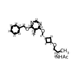 CC(=O)N[C@@H](C)CO[C@H]1C[C@H](COc2ncnc(OCc3ccccc3)c2F)C1